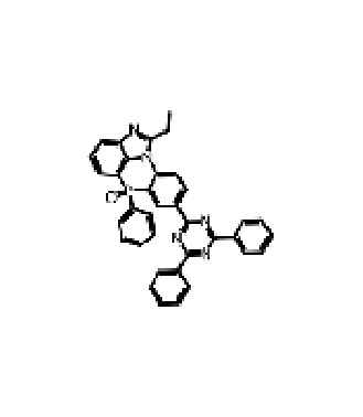 CCc1nc2cccc3c2n1-c1ccc(-c2nc(-c4ccccc4)nc(-c4ccccc4)n2)cc1P3(=O)c1ccccc1